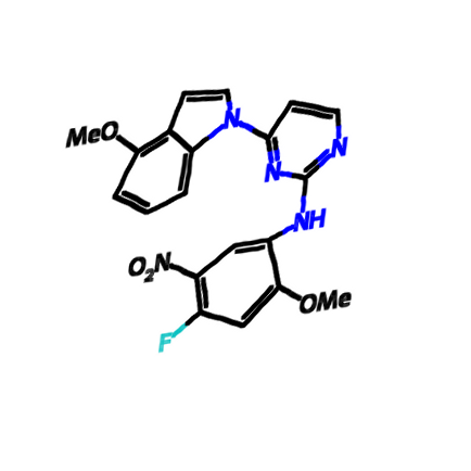 COc1cc(F)c([N+](=O)[O-])cc1Nc1nccc(-n2ccc3c(OC)cccc32)n1